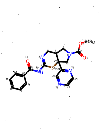 CC(C)(C)OC(=O)N1CC2CN=C(NC(=O)c3ccccc3)SC2(c2cnccn2)C1